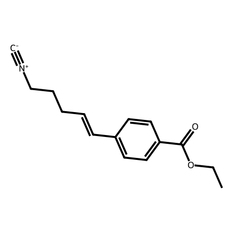 [C-]#[N+]CCC/C=C/c1ccc(C(=O)OCC)cc1